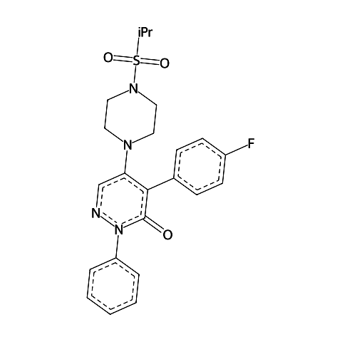 CC(C)S(=O)(=O)N1CCN(c2cnn(-c3ccccc3)c(=O)c2-c2ccc(F)cc2)CC1